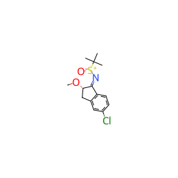 CO[C@H]1Cc2cc(Cl)ccc2C1=N[S@+]([O-])C(C)(C)C